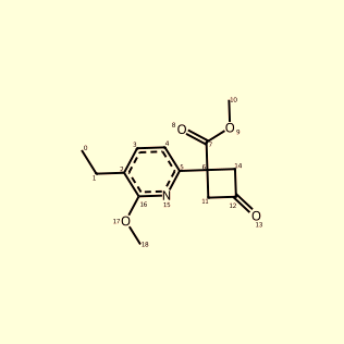 CCc1ccc(C2(C(=O)OC)CC(=O)C2)nc1OC